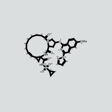 COc1ccc2c(OC3CC4C(=O)NC5(C(=O)NS(=O)(=O)C6CC6)CC5/C=C\CCCCCCC(=O)N4C3)nc(-n3cccn3)cc2c1